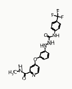 CNC(=O)c1cc(Oc2cccc(NNC(=O)Nc3ccc(C(F)(F)F)cc3)c2)ccn1